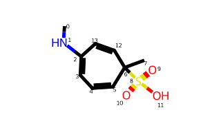 CNC1=CC=CC(C)(S(=O)(=O)O)C=C1